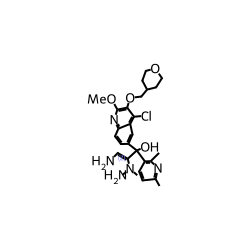 COc1nc2ccc(C(O)(/C(=C/N)N(C)N)c3ccc(C)nc3C)cc2c(Cl)c1OCC1CCOCC1